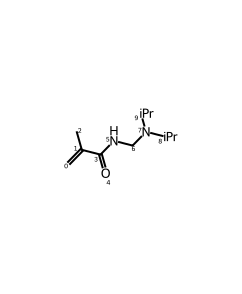 C=C(C)C(=O)NCN(C(C)C)C(C)C